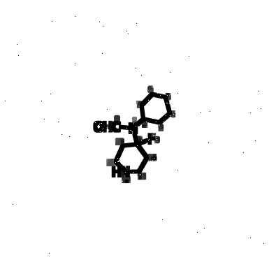 O=CN(C1CCCCC1)C1(F)CCNCC1